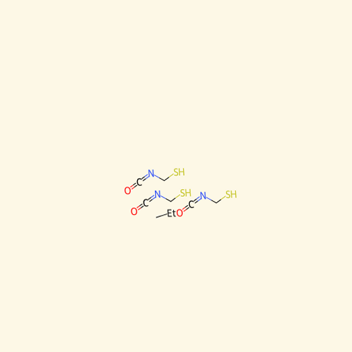 CCC.O=C=NCS.O=C=NCS.O=C=NCS